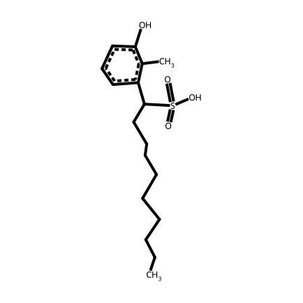 CCCCCCCCCC(c1cccc(O)c1C)S(=O)(=O)O